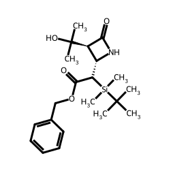 CC(C)(O)[C@H]1C(=O)N[C@@H]1C(C(=O)OCc1ccccc1)[Si](C)(C)C(C)(C)C